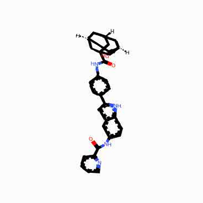 O=C(Nc1ccc2[nH]c(-c3ccc(NC(=O)C45C[C@@H]6C[C@H](C4)C(O)[C@@H](C6)C5)cc3)cc2c1)c1ccccn1